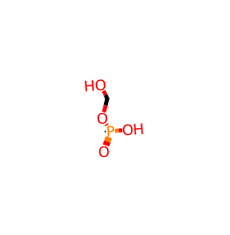 O=[P](O)OCO